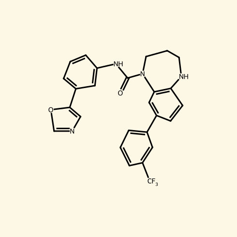 O=C(Nc1cccc(-c2cnco2)c1)N1CCCNc2ccc(-c3cccc(C(F)(F)F)c3)cc21